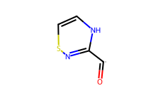 O=[C]C1=NSC=CN1